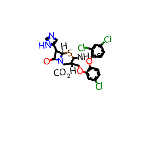 CC(=O)NC1S[C@@H]2C(c3cnc[nH]3)C(=O)N2CC1(COc1cc(Cl)ccc1Oc1ccc(Cl)cc1Cl)C(=O)O